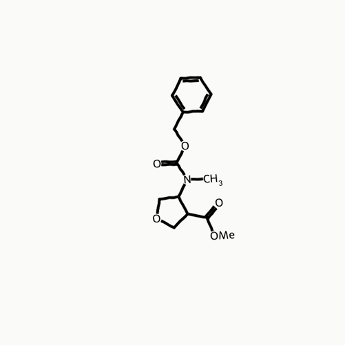 COC(=O)C1COCC1N(C)C(=O)OCc1ccccc1